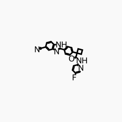 N#Cc1ccc2[nH]c(-c3ccc(C4(C(=O)Nc5ccc(F)cn5)CCC4)cc3)nc2c1